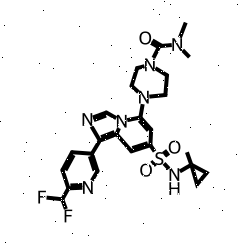 CN(C)C(=O)N1CCN(c2cc(S(=O)(=O)NC3(C)CC3)cc3c(-c4ccc(C(F)F)nc4)ncn23)CC1